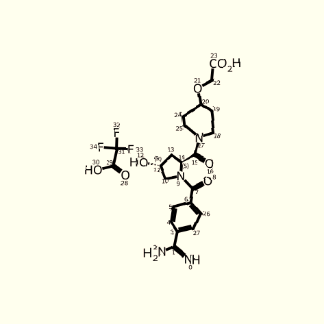 N=C(N)c1ccc(C(=O)N2C[C@H](O)C[C@H]2C(=O)N2CCC(OCC(=O)O)CC2)cc1.O=C(O)C(F)(F)F